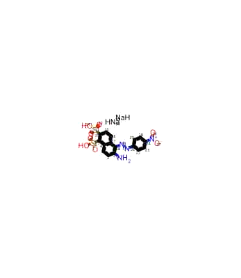 Nc1ccc2c(S(=O)(=O)O)c(S(=O)(=O)O)ccc2c1/N=N/c1ccc([N+](=O)[O-])cc1.[NaH].[NaH]